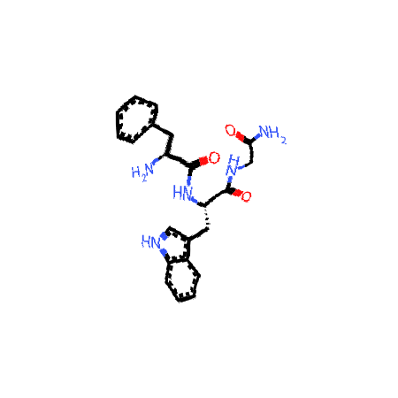 NC(=O)CNC(=O)[C@H](Cc1c[nH]c2ccccc12)NC(=O)[C@@H](N)Cc1ccccc1